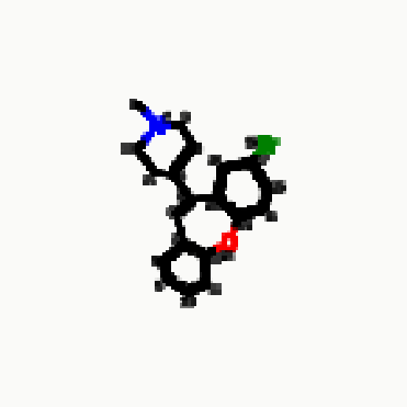 CN1CC=C(C2=Cc3ccccc3Oc3ccc(Br)cc32)CC1